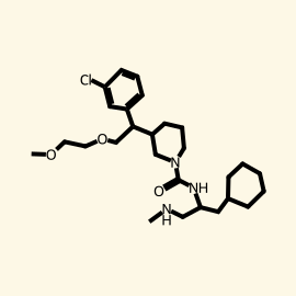 CNCC(CC1CCCCC1)NC(=O)N1CCCC(C(COCCOC)c2cccc(Cl)c2)C1